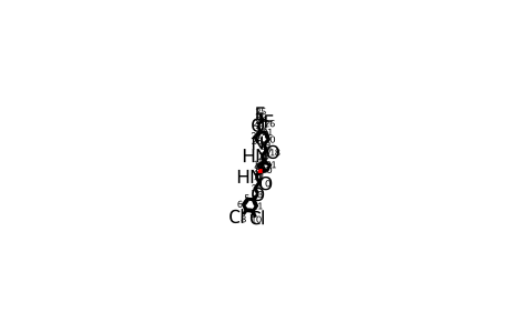 O=C(COc1ccc(Cl)c(Cl)c1)NC1CC2(NC(=O)c3ccc(OC(F)F)cn3)CC1C2